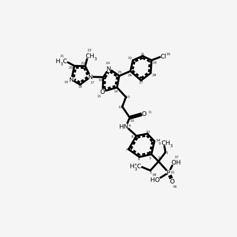 CCC(CC)(c1ccc(NC(=O)CCc2oc(-n3cnc(C)c3C)nc2-c2ccc(Cl)cc2)cc1)P(=O)(O)O